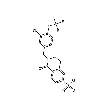 O=C1c2ccc(S(=O)(=O)Cl)cc2CCN1Cc1ccc(OC(F)(F)F)c(Cl)c1